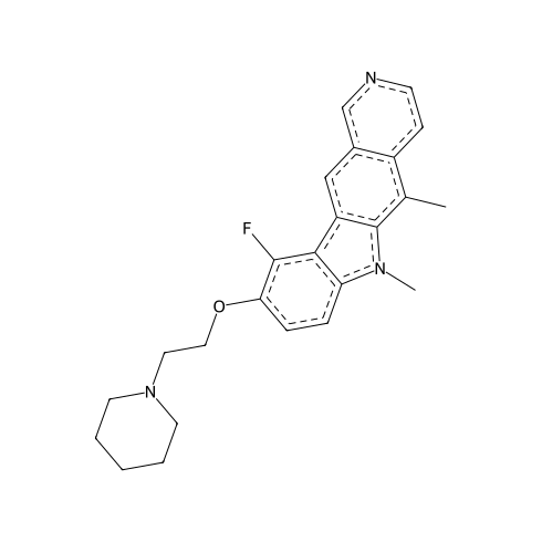 Cc1c2ccncc2cc2c3c(F)c(OCCN4CCCCC4)ccc3n(C)c12